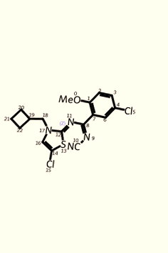 COc1ccc(Cl)cc1C(=NC#N)/N=c1\sc(Cl)cn1CC1CCC1